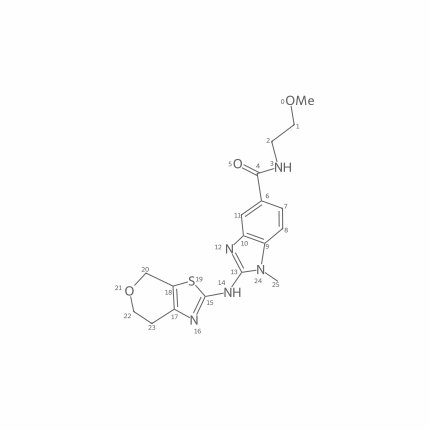 COCCNC(=O)c1ccc2c(c1)nc(Nc1nc3c(s1)COCC3)n2C